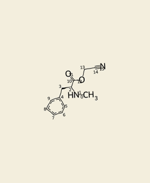 CN[C@@H](Cc1ccccc1)C(=O)OCC#N